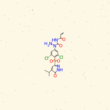 C=CC(=O)NC(=O)N(N)c1cc(Cl)c(S(=O)(=O)c2cc(C(C)C)c(=O)[nH]n2)c(Cl)c1